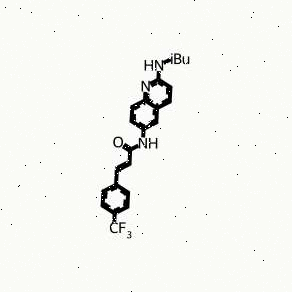 CCC(C)Nc1ccc2cc(NC(=O)/C=C/c3ccc(C(F)(F)F)cc3)ccc2n1